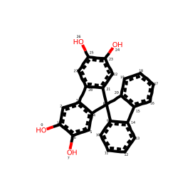 Oc1cc2c(cc1O)C1(c3ccccc3-c3ccccc31)c1cc(O)c(O)cc1-2